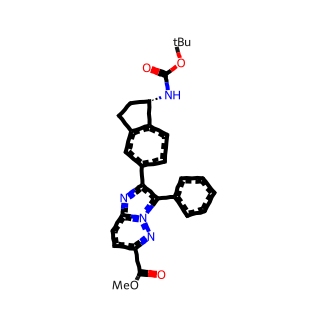 COC(=O)c1ccc2nc(-c3ccc4c(c3)CC[C@@H]4NC(=O)OC(C)(C)C)c(-c3ccccc3)n2n1